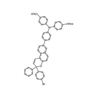 CCCCCCc1ccc(N(c2ccc(CCCCCC)cc2)c2ccc(-c3ccc4c5c(ccc4c3)OC(c3ccccc3)(c3ccc(Br)cc3)C=C5)cc2)cc1